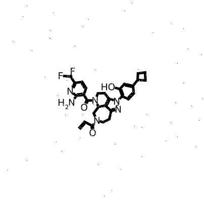 C=CC(=O)N1CCc2nn(-c3ccc(C4CCC4)cc3O)c3c2C(C1)N(C(=O)c1ccc(C(F)F)nc1N)CC3